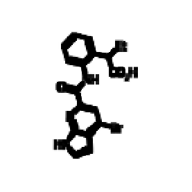 CCC(C(=O)O)c1ccccc1NC(=O)c1cc(Br)c2cc[nH]c2n1